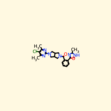 Cc1nc(N2CC3CN(C(=O)c4ccccc4C4=NC(C)NO4)CC3C2)nc(C)c1Cl